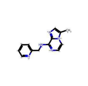 Cc1cnc2c(NCc3ccccn3)nccn12